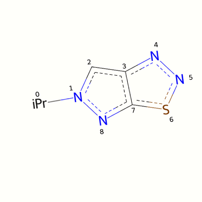 CC(C)n1cc2nnsc2n1